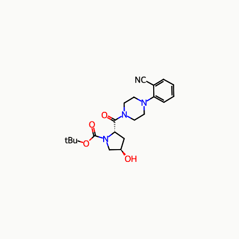 CC(C)(C)OC(=O)N1C[C@H](O)C[C@H]1C(=O)N1CCN(c2ccccc2C#N)CC1